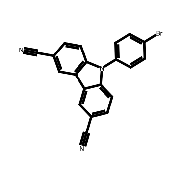 N#Cc1ccc2c(c1)c1cc(C#N)ccc1n2-c1ccc(Br)cc1